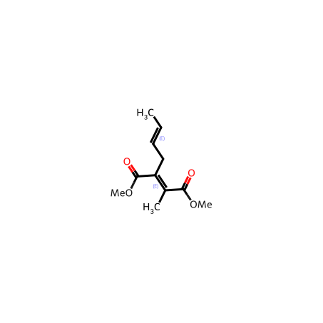 C/C=C/C/C(C(=O)OC)=C(/C)C(=O)OC